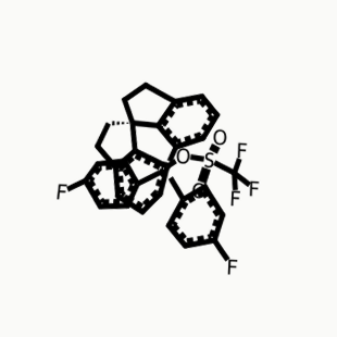 O=S(=O)(Oc1cccc2c1[C@@]1(CC2)CCc2cccc(P(c3ccc(F)cc3)c3ccc(F)cc3)c21)C(F)(F)F